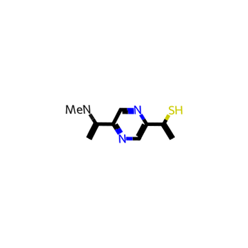 C=C(S)c1cnc(C(=C)NC)cn1